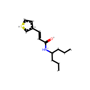 CCCC(CCC)NC(=O)C=Cc1ccsc1